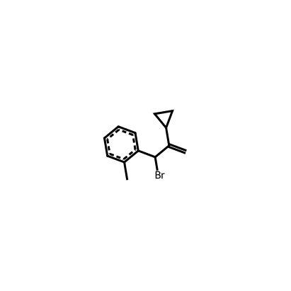 C=C(C1CC1)C(Br)c1ccccc1C